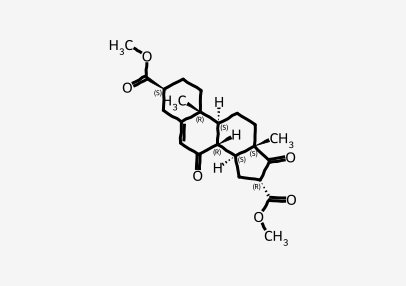 COC(=O)[C@H]1CC[C@@]2(C)C(=CC(=O)[C@@H]3[C@@H]2CC[C@]2(C)C(=O)[C@H](C(=O)OC)C[C@@H]32)C1